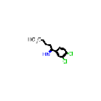 N=C(CCCC(=O)O)c1ccc(Cl)c(Cl)c1